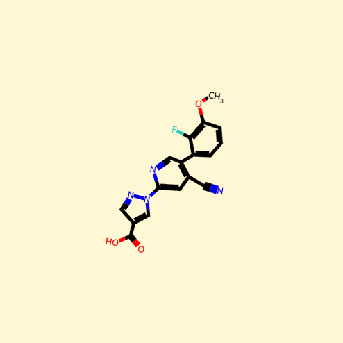 COc1cccc(-c2cnc(-n3cc(C(=O)O)cn3)cc2C#N)c1F